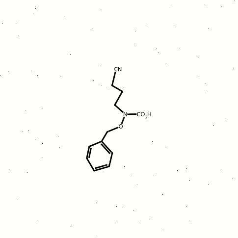 N#CCCCN(OCc1ccccc1)C(=O)O